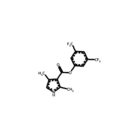 Cc1c[nH]c(C)c1C(=O)Oc1cc(C(F)(F)F)cc(C(F)(F)F)c1